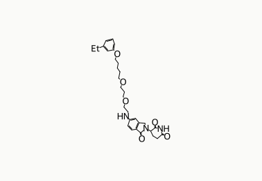 CCc1cccc(OCCCCCOCCCOCCNc2ccc3c(c2)CN(C2CCC(=O)NC2=O)C3=O)c1